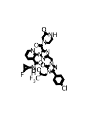 O=C1CN(C(=O)c2nc(Cn3nc(-c4ccc(Cl)cc4)n(C[C@H](O)C(F)(F)F)c3=O)nn2-c2ncccc2C(=O)NC2CC2F)CCN1